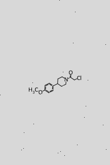 COc1ccc(C2CCN(C(=O)CCl)CC2)cc1